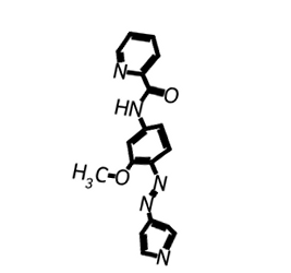 COc1cc(NC(=O)c2ccccn2)ccc1/N=N/c1ccncc1